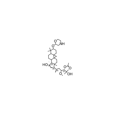 COC(C[C@@H](C)[C@H]1C[C@H](O)[C@@]2(C)C3CCC4C(C)(C)C(OC5CNCCO5)CCC45CC35CCC12C)[C@H](OC(C)=O)C(C)(C)O